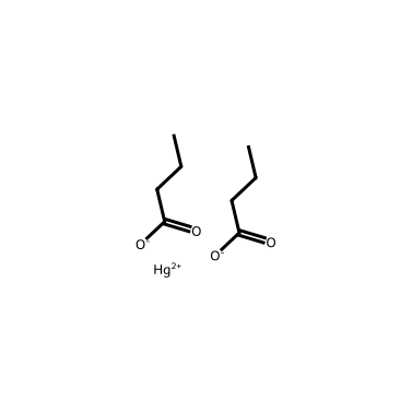 CCCC(=O)[O-].CCCC(=O)[O-].[Hg+2]